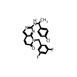 CC(Nc1ncc2ccc(=O)n(Cc3cc(F)cc(F)c3)c2n1)c1ccc(Cl)cc1